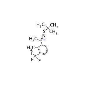 C/C(=N\SC(C)(C)C)c1cccc(C(F)(F)F)c1C